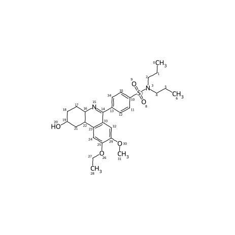 CCCN(CCC)S(=O)(=O)c1ccc(C2=NC3CCC(O)CC3c3cc(OCC)c(OC)cc32)cc1